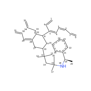 C=C/C=C\C=C(/C=C)C1CC(C(C)(C)CC(C)(C)N[C@H](C)c2ccccc2)CC(=C/C=C)/C1=C\C=C